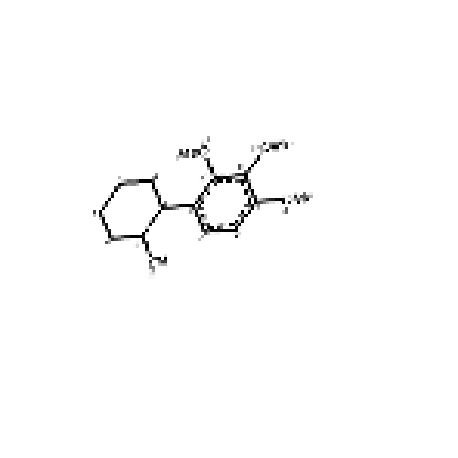 COc1ccc(C2CCCCC2C#N)c(OC)c1OC